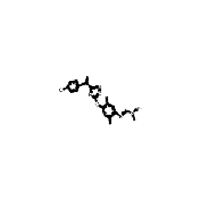 Cc1cc(Oc2nc(C(C)c3ccc(Cl)cc3)ns2)c(C)cc1N=CN(C)C(C)C